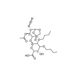 CCCCOC1C(OCCCC)[C@H](O)C(C(=O)O)O[C@H]1OC1[C@@H](OC(C)=O)[C@H](N=[N+]=[N-])C2OC[C@H]1O2